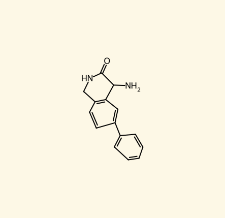 NC1C(=O)NCc2ccc(-c3ccccc3)cc21